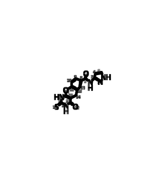 O=C(Nc1cc[nH]n1)c1ccc2c(c1)Cc1c([nH]c(=S)[nH]c1=O)O2